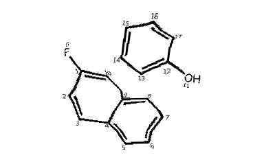 Fc1ccc2ccccc2c1.Oc1ccccc1